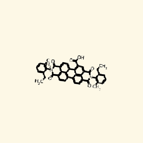 CCc1cccc(C)c1N1C(=O)c2ccc3c4ccc5c6c(cc(C(=O)O)c(c7ccc(c2c37)C1=O)c64)C(=O)N(c1c(C)cccc1CC)C5=O